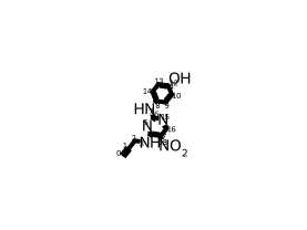 C#CCNc1nc(Nc2ccc(O)cc2)ncc1[N+](=O)[O-]